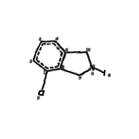 Clc1cccc2c1CN(I)C2